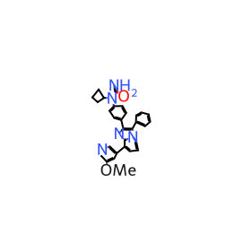 COc1cncc(-c2cccn3c(-c4ccccc4)c(-c4ccc(N(C(N)=O)C5CCC5)cc4)nc23)c1